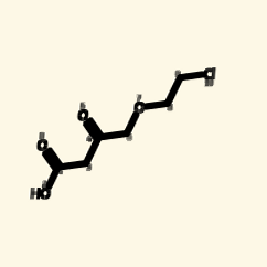 O=C(O)CC(=O)COCCCl